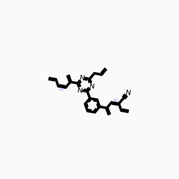 C=C/C=C\C(=C)c1nc(CC=C)nc(-c2cccc(C(=C)/C=C(/C#N)C=C)c2)n1